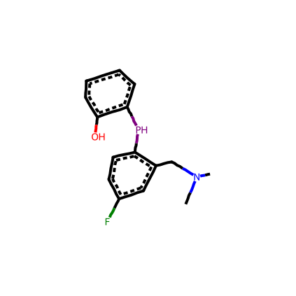 CN(C)Cc1cc(F)ccc1Pc1ccccc1O